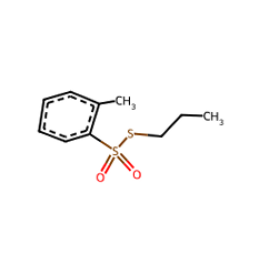 CCCSS(=O)(=O)c1ccccc1C